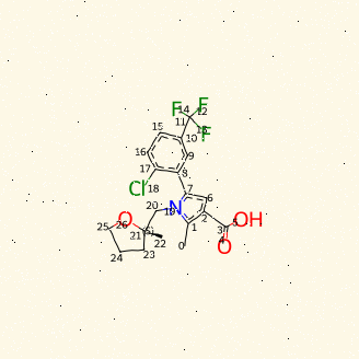 Cc1c(C(=O)O)cc(-c2cc(C(F)(F)F)ccc2Cl)n1C[C@]1(C)CCCO1